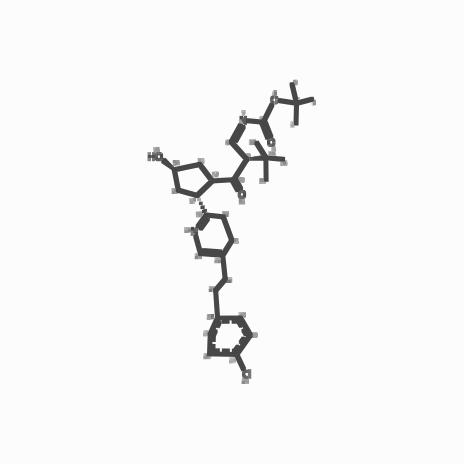 CC(C)(C)OC(=O)/N=C\[C@H](C(=O)C1C[C@H](O)C[C@H]1C1=NC=C(CCc2ccc(Cl)cc2)CC1)C(C)(C)C